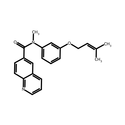 CC(C)=CCOc1cccc(N(C)C(=O)c2ccc3ncccc3c2)c1